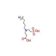 CCCCCN(CCC(=O)O)CCS(=O)(=O)O